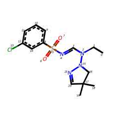 CCN(C=NS(=O)(=O)c1cccc(Cl)c1)N1CC(C)(C)C=N1